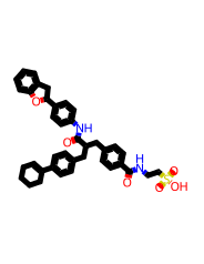 O=C(NCCS(=O)(=O)O)c1ccc(CC(Cc2ccc(C3=CCCCC3)cc2)C(=O)Nc2ccc(C3Cc4ccccc4O3)cc2)cc1